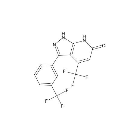 O=c1cc(C(F)(F)F)c2c(-c3cccc(C(F)(F)F)c3)n[nH]c2[nH]1